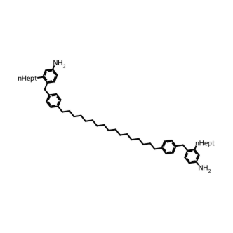 CCCCCCCc1cc(N)ccc1Cc1ccc(CCCCCCCCCCCCCCCCCc2ccc(Cc3ccc(N)cc3CCCCCCC)cc2)cc1